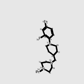 CCc1ccc(N2CCC(CN3CCN(C(C)C)CC3)CC2)c(F)c1